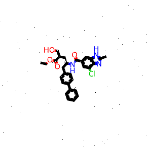 CCOC(=O)C(CO)C[C@H](Cc1ccc(-c2ccccc2)cc1)NC(=O)c1cc(Cl)c2nc(C)[nH]c2c1